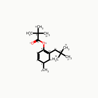 CC1C=CC(OC(=O)C(C)(C)C)=C(CC(C)(C)C)C1